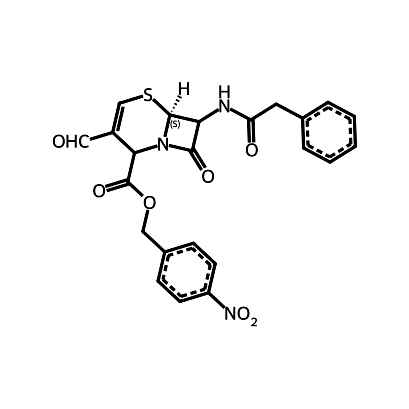 O=CC1=CS[C@H]2C(NC(=O)Cc3ccccc3)C(=O)N2C1C(=O)OCc1ccc([N+](=O)[O-])cc1